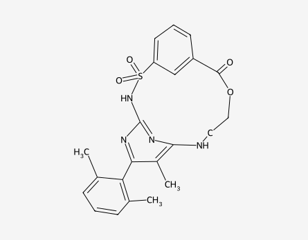 Cc1cccc(C)c1-c1nc2nc(c1C)NCCOC(=O)c1cccc(c1)S(=O)(=O)N2